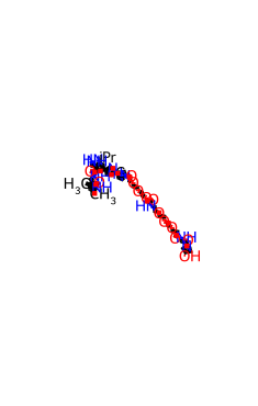 Cc1cc(C)c(CNC(=O)c2cc(-c3ccc(N4CCN(C(=O)COCCOCCOCC(=O)NCCOCCOCCOCCC(=O)NCC(=O)N5CC[C@@H](O)C5)CC4)nc3)cc(NC(C)C)c2C=N)c(=O)[nH]1